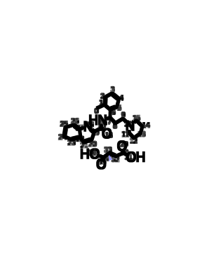 Cc1ccccc1C(CCN1CCCCC1)NC(=O)c1ccc2ccccc2n1.O=C(O)/C=C/C(=O)O